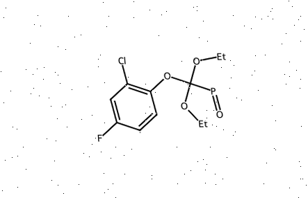 CCOC(OCC)(Oc1c[c]c(F)cc1Cl)P=O